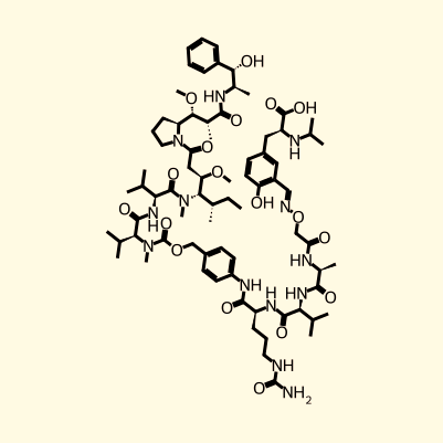 CC[C@H](C)[C@@H]([C@@H](CC(=O)N1CCC[C@H]1[C@H](OC)[C@@H](C)C(=O)N[C@H](C)[C@@H](O)c1ccccc1)OC)N(C)C(=O)[C@@H](NC(=O)[C@H](C(C)C)N(C)C(=O)OCc1ccc(NC(=O)[C@H](CCCNC(N)=O)NC(=O)[C@@H](NC(=O)[C@H](C)NC(=O)CO/N=C/c2cc(C[C@H](NC(C)C)C(=O)O)ccc2O)C(C)C)cc1)C(C)C